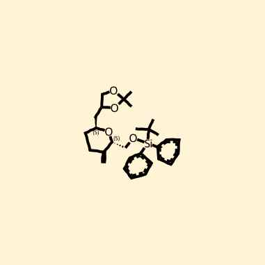 C=C1CC[C@@H](CC2COC(C)(C)O2)O[C@@H]1CO[Si](c1ccccc1)(c1ccccc1)C(C)(C)C